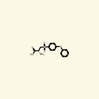 N[C@@H](CS(=O)(=O)c1ccc(Oc2ccccc2)cc1)C(=O)O